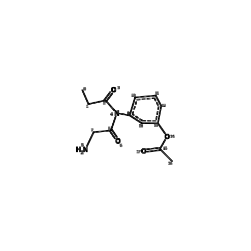 CCC(=O)N(C(=O)CN)c1cccc(OC(C)=O)c1